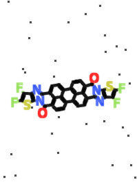 O=c1c2ccc3c4ccc5c6c(ccc(c7ccc(c2c37)c2nc3c(F)c(F)sc3n12)c46)c(=O)n1c5nc2c(F)c(F)sc21